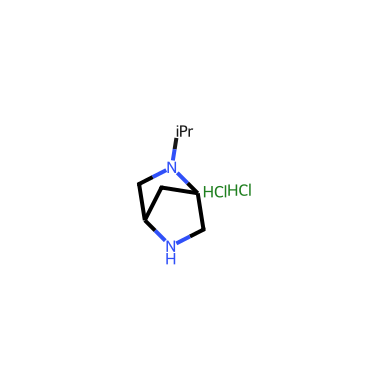 CC(C)N1CC2CC1CN2.Cl.Cl